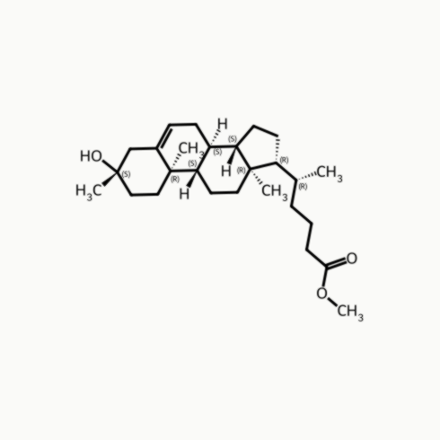 COC(=O)CCC[C@@H](C)[C@H]1CC[C@H]2[C@@H]3CC=C4C[C@@](C)(O)CC[C@]4(C)[C@H]3CC[C@]12C